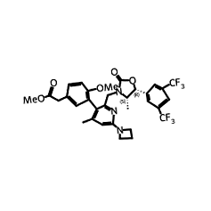 COC(=O)Cc1ccc(OC)c(-c2c(C)cc(N3CCC3)nc2CN2C(=O)O[C@H](c3cc(C(F)(F)F)cc(C(F)(F)F)c3)[C@@H]2C)c1